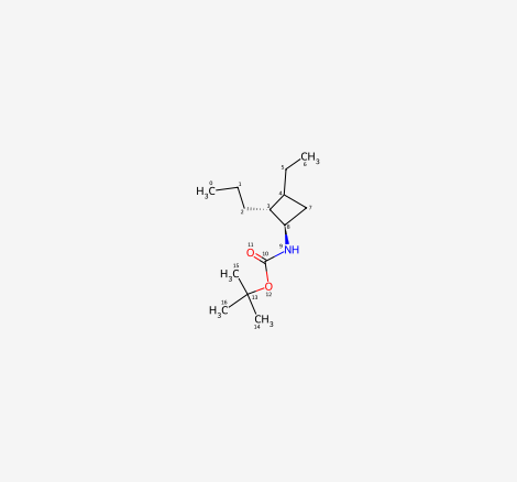 CCC[C@@H]1C(CC)C[C@H]1NC(=O)OC(C)(C)C